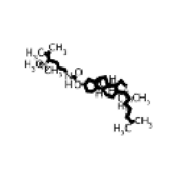 CC(C)CCC[C@@H](C)[C@H]1CC[C@H]2[C@@H]3CC=C4C[C@@H](OC(=O)NCCCC(C(C)C)N(C)C)CC[C@]4(C)[C@H]3CC[C@]12C